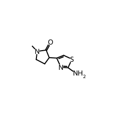 CN1CCC(c2csc(N)n2)C1=O